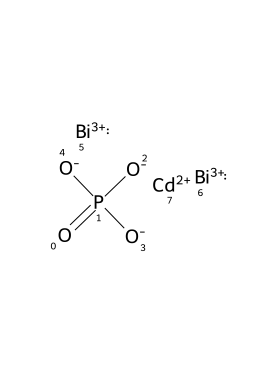 O=P([O-])([O-])[O-].[Bi+3].[Bi+3].[Cd+2]